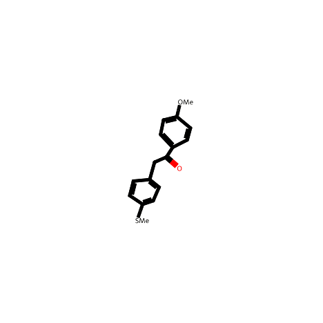 COc1ccc(C(=O)Cc2ccc(SC)cc2)cc1